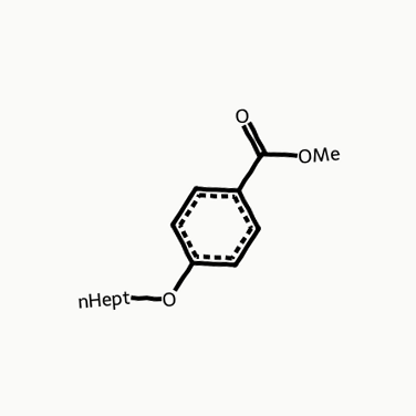 CCCCCCCOc1ccc(C(=O)OC)cc1